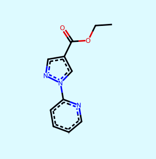 CCOC(=O)c1cnn(-c2cc[c]cn2)c1